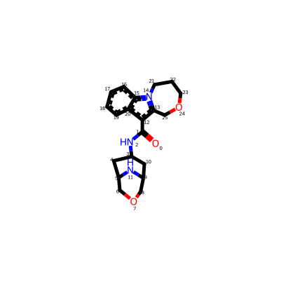 O=C(NC1CC2COCC(C1)N2)c1c2n(c3ccccc13)CCCOC2